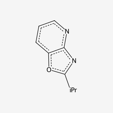 CC(C)c1nc2ncccc2o1